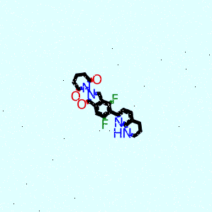 O=C1c2cc(F)c(-c3ccc4c(n3)NCCC4)c(F)c2CN1N1C(=O)CCCC1=O